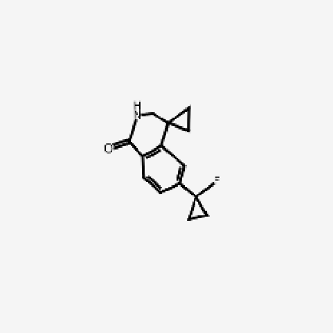 O=C1NCC2(CC2)c2cc(C3(F)CC3)ccc21